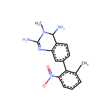 Cc1cccc([N+](=O)[O-])c1-c1ccc2c(c1)N=C(N)N(C)C2N